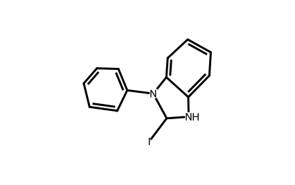 IC1Nc2ccccc2N1c1ccccc1